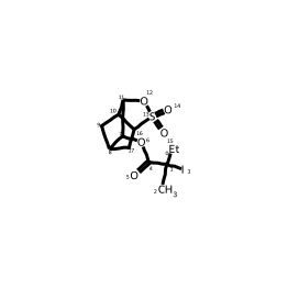 CCC(C)(I)C(=O)OC1C2CC3C1OS(=O)(=O)C3C2